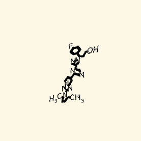 Cc1ccc(C)n1-c1nc2cc(-c3cncc(-c4cnn(C(CCO)c5ccc(F)cc5)c4)n3)ccn2n1